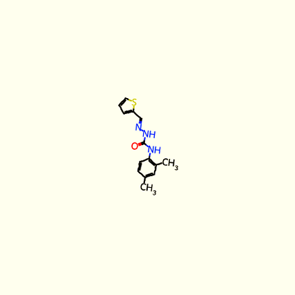 Cc1ccc(NC(=O)NN=Cc2cccs2)c(C)c1